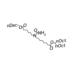 CCCCCCCCCCCOC(=O)CCCCCN(CCCCCCCC(=O)OC(CCCCCCCC)CCCCCCCC)C(N)=O